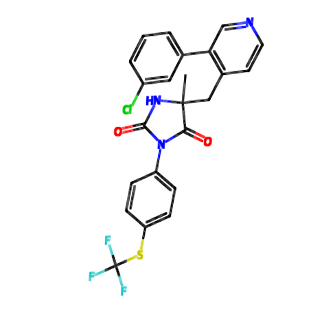 CC1(Cc2ccncc2-c2cccc(Cl)c2)NC(=O)N(c2ccc(SC(F)(F)F)cc2)C1=O